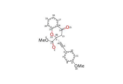 COC(=O)[C@]1(C#Cc2ccc(OC)cc2)CC(=O)c2ccccc2O1